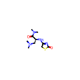 CN(C)C[C@H](NC1=NC(=O)SC1)C(=O)N(C)C